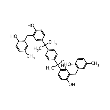 Cc1ccc(O)c(Cc2cc(C(C)(C)c3ccc(C(C)(C)c4ccc(O)c(Cc5cc(C)ccc5O)c4)cc3)ccc2O)c1